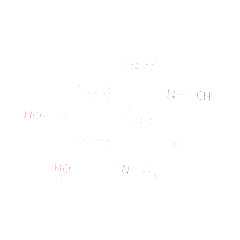 CN1C=Cc2cc(O)c(O)c3nccc1c23